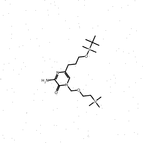 CC(C)(C)[Si](C)(C)OCCCc1cn(COCC[Si](C)(C)C)c(=O)c(N)n1